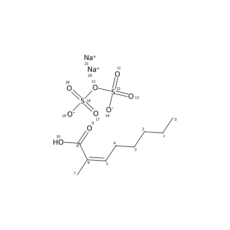 CCCCCC=C(C)C(=O)O.O=S(=O)([O-])OS(=O)(=O)[O-].[Na+].[Na+]